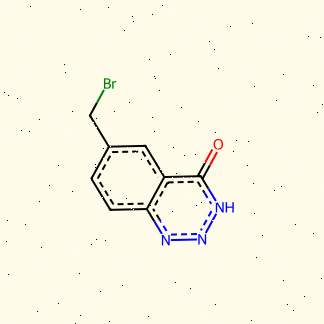 O=c1[nH]nnc2ccc(CBr)cc12